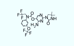 CC1(C)CN(c2ncc(OC(=O)N(CC(F)(F)F)c3cccc(OC(F)(F)F)c3)c(N)n2)C(=O)N1